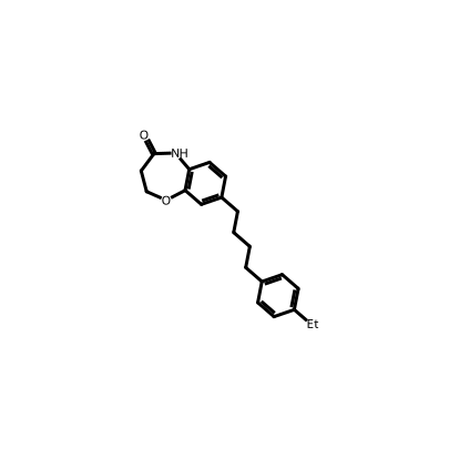 CCc1ccc(CCCCc2ccc3c(c2)OCCC(=O)N3)cc1